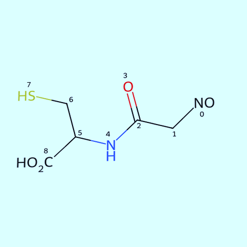 O=NCC(=O)NC(CS)C(=O)O